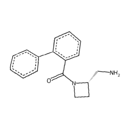 NC[C@@H]1CCN1C(=O)c1ccccc1-c1ccccc1